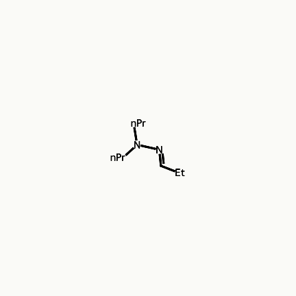 CC/C=N/N(CCC)CCC